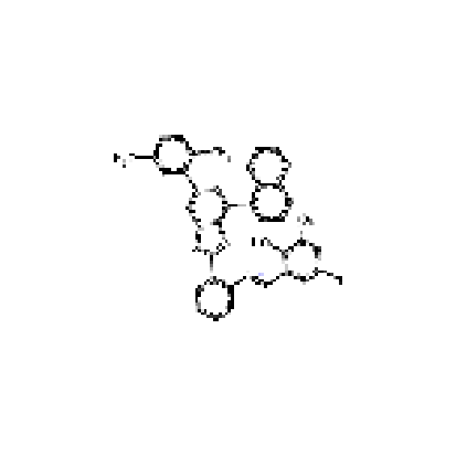 Cc1ccc(C)c(-c2cc(-c3cccc4ccccc34)c3nc(-c4ccccc4/N=C/c4cc(I)cc(C(C)(C)C)c4O)sc3c2)c1